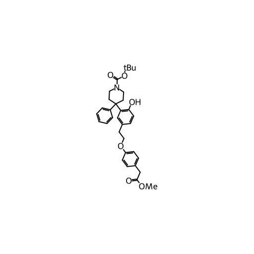 COC(=O)Cc1ccc(OCCc2ccc(O)c(C3(c4ccccc4)CCN(C(=O)OC(C)(C)C)CC3)c2)cc1